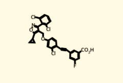 O=C(O)c1cc(F)cc(C#Cc2ccc(OCc3c(-c4c(Cl)cccc4Cl)noc3C3CC3)cc2Cl)c1